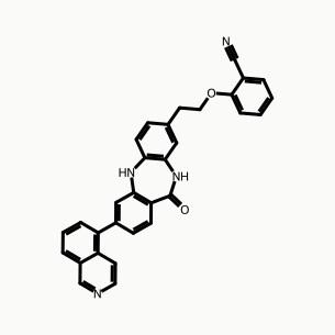 N#Cc1ccccc1OCCc1ccc2c(c1)NC(=O)c1ccc(-c3cccc4cnccc34)cc1N2